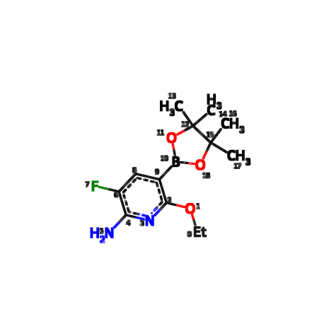 CCOc1nc(N)c(F)cc1B1OC(C)(C)C(C)(C)O1